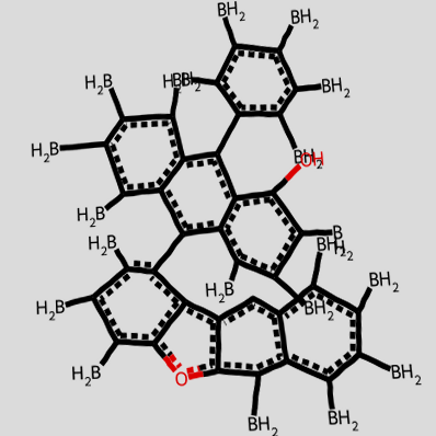 Bc1c(B)c(B)c(-c2c3c(B)c(B)c(B)c(B)c3c(-c3c(B)c(B)c(B)c4oc5c(B)c6c(B)c(B)c(B)c(B)c6cc5c34)c3c(B)c(B)c(B)c(O)c23)c(B)c1B